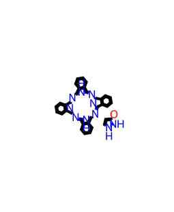 O=c1cc[nH][nH]1.c1ccc2c(c1)-c1nc-2nc2[nH]c(nc3nc(nc4[nH]c(n1)c1ccccc41)-c1ccccc1-3)c1ccccc21